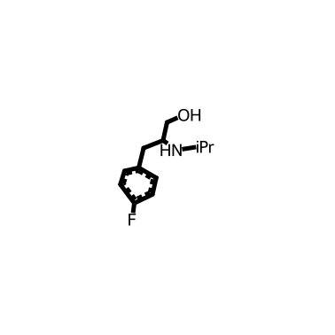 CC(C)NC(CO)Cc1ccc(F)cc1